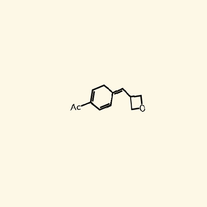 CC(=O)C1=CCC(=CC2COC2)C=C1